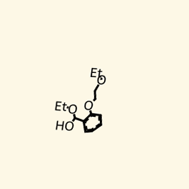 CCOCCOc1ccccc1C(O)OCC